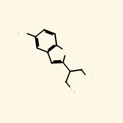 CC(C)c1ccc2oc(C(CN)CC(=O)O)cc2c1